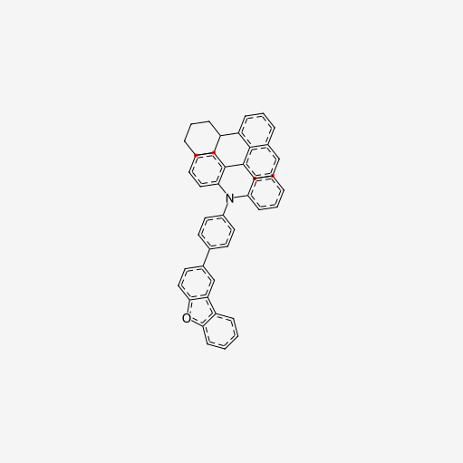 c1ccc(N(c2ccc(-c3ccc4oc5ccccc5c4c3)cc2)c2ccccc2-c2cccc3cccc(C4CCCCC4)c23)cc1